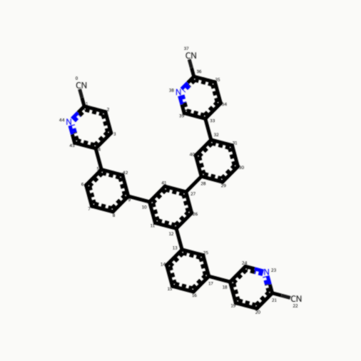 N#Cc1ccc(-c2cccc(-c3cc(-c4cccc(-c5ccc(C#N)nc5)c4)cc(-c4cccc(-c5ccc(C#N)nc5)c4)c3)c2)cn1